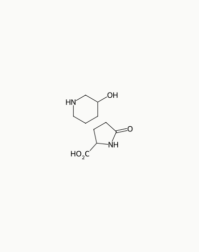 O=C1CCC(C(=O)O)N1.OC1CCCNC1